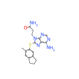 Cc1cc2c(cc1Sc1nc3c(N)ncnc3n1CCC(N)=O)CCC2